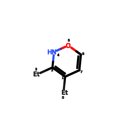 CCC1=C(CC)NOC=C1